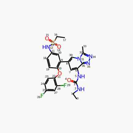 CCNC(=O)Nc1cc(-c2cc(NS(=O)(=O)CC)ccc2Oc2ccc(F)cc2F)cn2c(C)nnc12